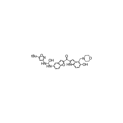 CC(C)(C)c1cc(NC(O)Nc2ccc3oc(C(=O)c4cc5c(CN6CCOCC6)c(O)ccc5[nH]4)cc3c2)no1